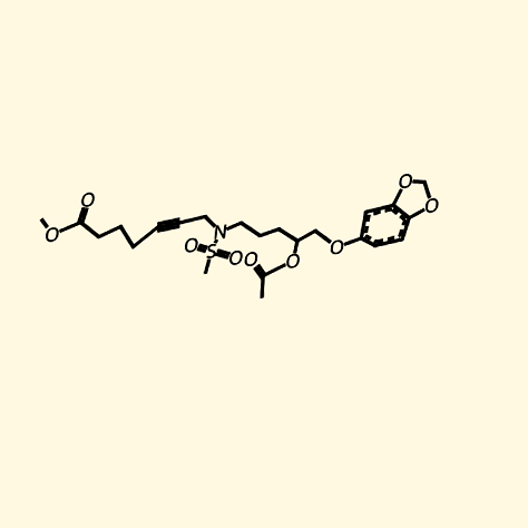 COC(=O)CCCC#CCN(CCCC(COc1ccc2c(c1)OCO2)OC(C)=O)S(C)(=O)=O